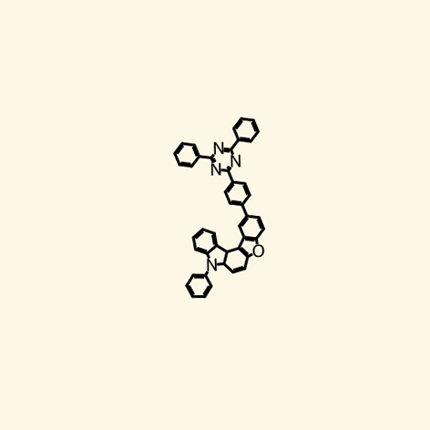 C1=CC2C(c3ccccc3N2c2ccccc2)c2c1oc1ccc(-c3ccc(-c4nc(-c5ccccc5)nc(-c5ccccc5)n4)cc3)cc21